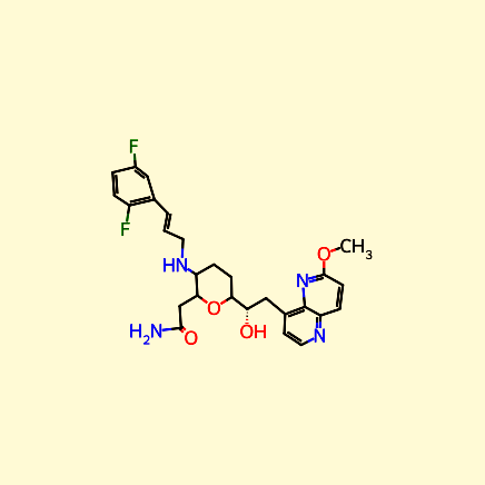 COc1ccc2nccc(C[C@H](O)C3CCC(NC/C=C/c4cc(F)ccc4F)C(CC(N)=O)O3)c2n1